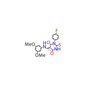 COc1cc(N/C=C2/C(=O)NC(=S)N(c3ccc(F)cc3)C2=O)cc(OC)c1